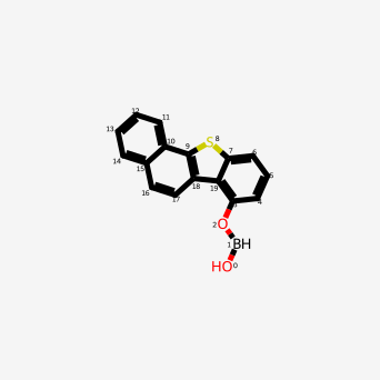 OBOc1cccc2sc3c4ccccc4ccc3c12